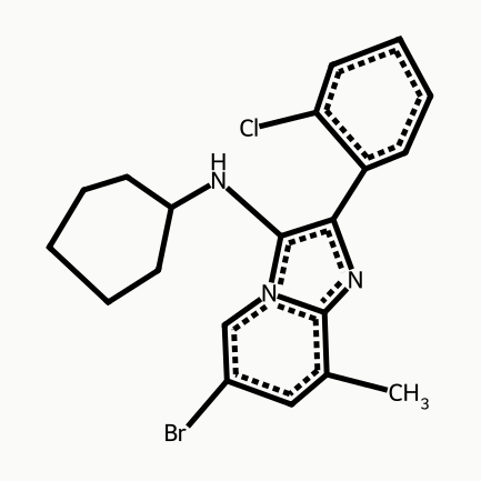 Cc1cc(Br)cn2c(NC3CCCCC3)c(-c3ccccc3Cl)nc12